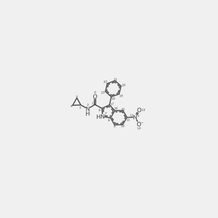 O=C(NC1CC1)c1[nH]c2ccc([N+](=O)[O-])cc2c1-c1ccccc1